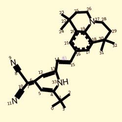 CC(C)(C)C1=CC(=C(C#N)C#N)C=C(/C=C/c2cc3c4c(c2)C(C)(C)CCN4CCC3(C)C)N1